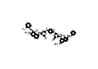 Cc1ccccc1/N=N/c1c(S(=O)(=O)O)cc2cccc(Nc3nc(Cl)nc(Nc4ccc(Nc5nc(Cl)nc(Nc6cc(S(=O)(=O)O)cc7ccc(/N=N/c8ccccc8)c(O)c67)n5)cc4)n3)c2c1O